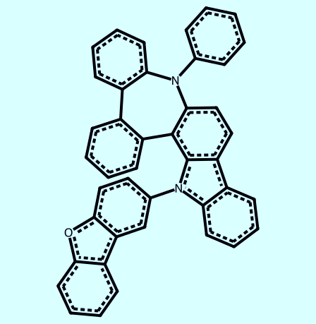 c1ccc(N2c3ccccc3-c3ccccc3-c3c2ccc2c4ccccc4n(-c4ccc5oc6ccccc6c5c4)c32)cc1